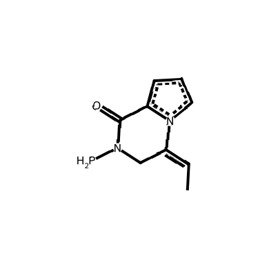 CC=C1CN(P)C(=O)c2cccn21